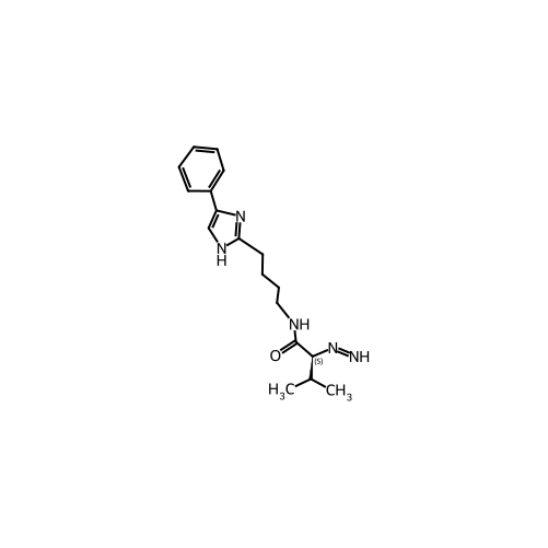 CC(C)[C@H](N=N)C(=O)NCCCCc1nc(-c2ccccc2)c[nH]1